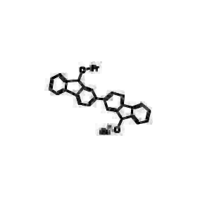 CC[C@@H](C)OC1c2ccccc2-c2ccc(-c3ccc4c(c3)C(OC(C)C)c3ccccc3-4)cc21